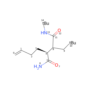 C=CCC[C@H](C(N)=O)C(CC(C)(C)C)C(=O)NC(C)(C)C